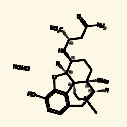 CO[C@@]12CC[C@H](N[C@@H](CC(N)=O)C(=O)O)[C@@H]3Oc4c(O)ccc5c4[C@@]31CCN(C)[C@@H]2C5.Cl.Cl